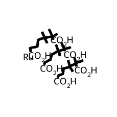 CC(C)(CCCC(=O)O)C(C)(C)C(=O)O.CC(C)(CCCC(=O)O)C(C)(C)C(=O)O.CC(C)(CCCC(=O)O)C(C)(C)C(=O)O.[Ru]